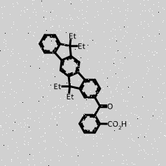 CCC1(CC)c2ccccc2-c2cc3c(cc21)-c1ccc(C(=O)c2ccccc2C(=O)O)cc1C3(CC)CC